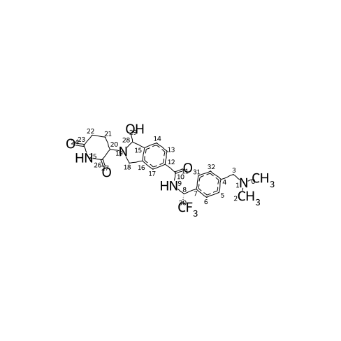 CN(C)Cc1ccc([C@@H](NC(=O)c2ccc3c(c2)CN(C2CCC(=O)NC2=O)C3O)C(F)(F)F)cc1